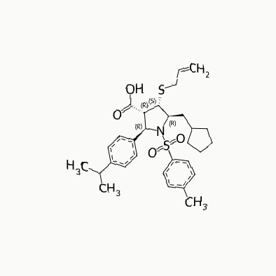 C=CCS[C@H]1[C@@H](C(=O)O)[C@H](c2ccc(C(C)C)cc2)N(S(=O)(=O)c2ccc(C)cc2)[C@@H]1CC1CCCC1